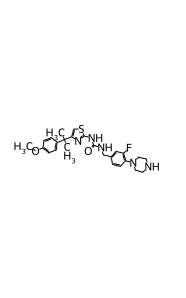 COc1ccc(C(C)(C)c2csc(NC(=O)NCc3ccc(N4CCNCC4)c(F)c3)n2)cc1